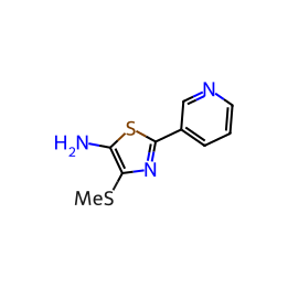 CSc1nc(-c2cccnc2)sc1N